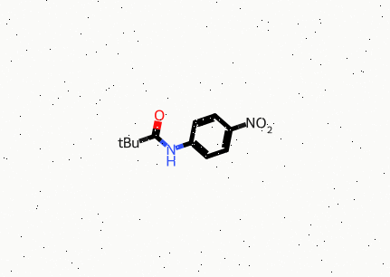 CC(C)(C)C(=O)Nc1ccc([N+](=O)[O-])cc1